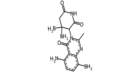 Bc1ccc(N)c2c(=O)n(C3C(=O)NC(=O)CC3(B)B)c(C)nc12